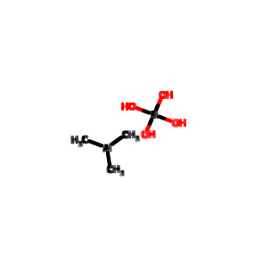 O[Si](O)(O)O.[CH3][Al]([CH3])[CH3]